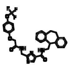 O=C(COc1ccc(OC(F)(F)F)cc1)NCc1nc(C(=O)NCC2c3ccccc3CCc3ccccc32)cs1